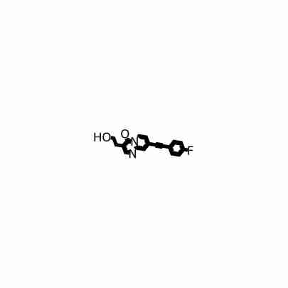 O=c1c(CCO)cnc2cc(C#Cc3ccc(F)cc3)ccn12